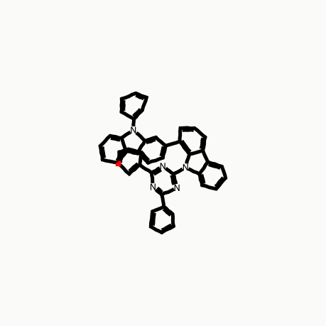 c1ccc(-c2nc(-c3ccccc3)nc(-n3c4ccccc4c4cccc(-c5ccc6c7ccccc7n(-c7ccccc7)c6c5)c43)n2)cc1